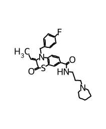 CC=C1C(=O)Sc2cc(C(=O)NCCCN3CCCCC3)ccc2N1Cc1ccc(F)cc1